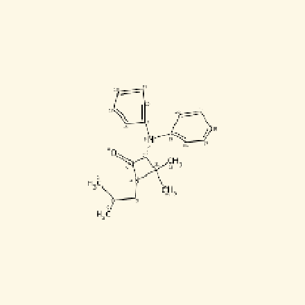 CC(C)CN1C(=O)[C@H](N(c2ccccc2)c2ccccc2)C1(C)C